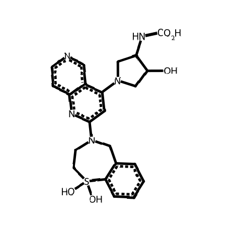 O=C(O)NC1CN(c2cc(N3CCS(O)(O)c4ccccc4C3)nc3ccncc23)CC1O